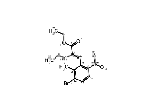 CCOC(=O)/C(=C/c1c([N+](=O)[O-])ccc(Br)c1C)OCC